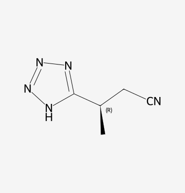 C[C@H](CC#N)c1nnn[nH]1